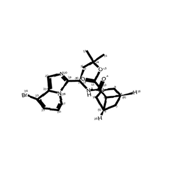 C[C@@H](NC(=O)C1[C@@H]2C[C@H]1CN(C(=O)OC(C)(C)C)C2)c1ncc2c(Br)cccn12